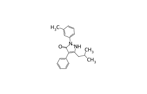 Cc1cccc(-n2[nH]c(CC(C)C)c(-c3ccccc3)c2=O)c1